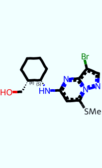 CSc1cc(N[C@H]2CCCC[C@H]2CO)nc2c(Br)cnn12